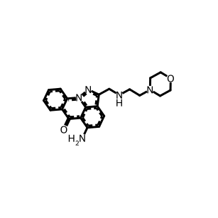 Nc1ccc2c(CNCCN3CCOCC3)nn3c4ccccc4c(=O)c1c23